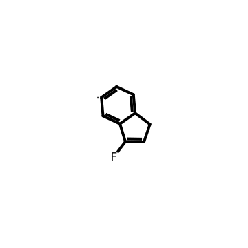 FC1=CCc2cc[c]cc21